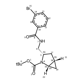 CC(C)(C)OC(=O)N1[C@H](CNC(=O)c2cccc(Br)c2)C[C@@H]2C[C@@H]21